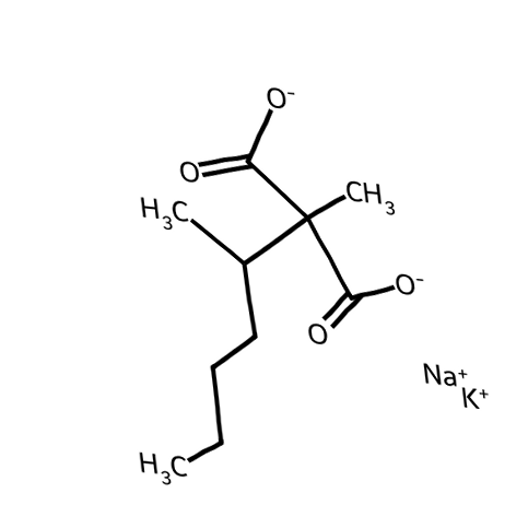 CCCCC(C)C(C)(C(=O)[O-])C(=O)[O-].[K+].[Na+]